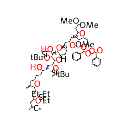 C=C=C(C)CC(CCC1OC(CCC(O)/C=C/C(O[Si](C)(C)C(C)(C)C)C2O[C@H]3CC[C@H](CC(=O)C[C@H]4C(CC(OC)OC)OC(CC(COC(=O)c5ccccc5)OC(=O)c5ccccc5)C4OC)OC3[C@H](O)C2O[Si](C)(C)C(C)(C)C)CC1=C)O[Si](CC)(CC)CC